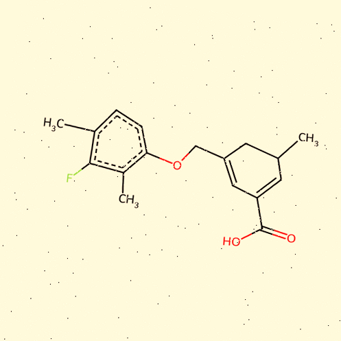 Cc1ccc(OCC2=CC(C(=O)O)=CC(C)C2)c(C)c1F